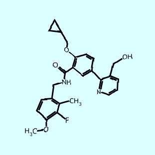 COc1ccc(CNC(=O)c2cc(-c3ncccc3CO)ccc2OCC2CC2)c(C)c1F